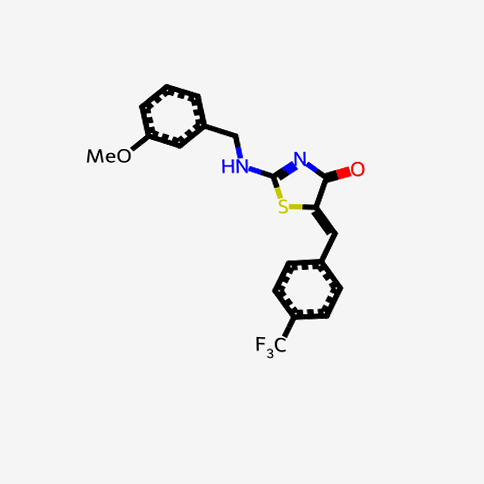 COc1cccc(CNC2=NC(=O)C(=Cc3ccc(C(F)(F)F)cc3)S2)c1